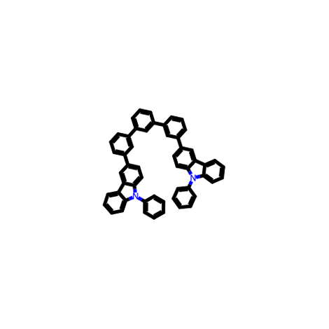 c1ccc(-n2c3ccccc3c3cc(-c4cccc(-c5cccc(-c6cccc(-c7ccc8c(c7)c7ccccc7n8-c7ccccc7)c6)c5)c4)ccc32)cc1